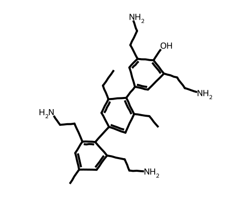 CCc1cc(-c2c(CCN)cc(C)cc2CCN)cc(CC)c1-c1cc(CCN)c(O)c(CCN)c1